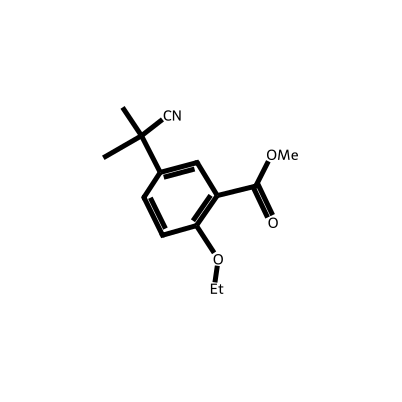 CCOc1ccc(C(C)(C)C#N)cc1C(=O)OC